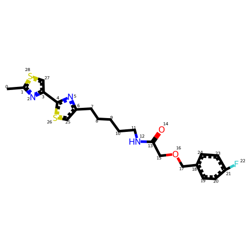 Cc1nc(-c2nc(CCCCCNC(=O)COCc3ccc(F)cc3)cs2)cs1